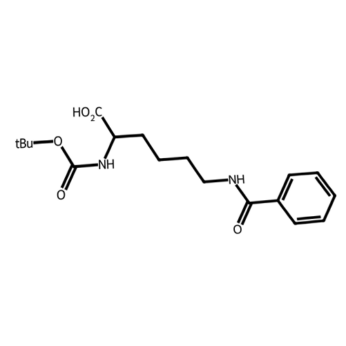 CC(C)(C)OC(=O)NC(CCCCNC(=O)c1ccccc1)C(=O)O